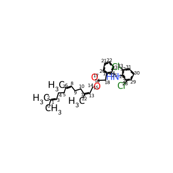 CC(C)=CCCC(C)=CCCC(C)=CCOC(=O)Cc1ccccc1Nc1c(Cl)cccc1Cl